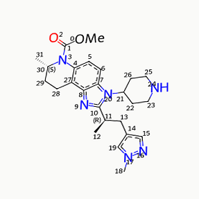 COC(=O)N1c2ccc3c(nc([C@H](C)Cc4cnn(C)c4)n3C3CCNCC3)c2CC[C@@H]1C